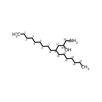 CCCCCCCCCC(CCCCCCC)CC(O)CN